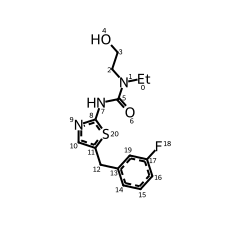 CCN(CCO)C(=O)Nc1ncc(Cc2cccc(F)c2)s1